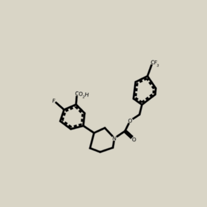 O=C(O)c1cc(C2CCCN(C(=O)OCc3ccc(C(F)(F)F)cc3)C2)ccc1F